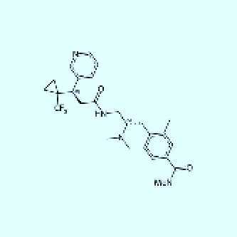 CNC(=O)c1ccc(C[C@@H](CNC(=O)C[C@H](c2cccnc2)C2(C(F)(F)F)CC2)N(C)C)c(C)c1